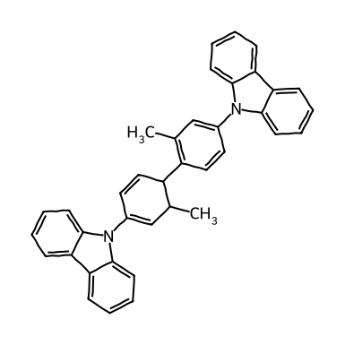 Cc1cc(-n2c3ccccc3c3ccccc32)ccc1C1C=CC(n2c3ccccc3c3ccccc32)=CC1C